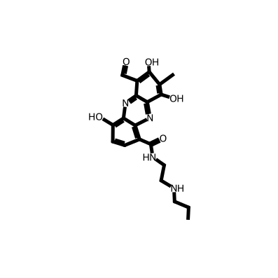 CCCNCCNC(=O)c1ccc(O)c2nc3c(C=O)c(O)c(C)c(O)c3nc12